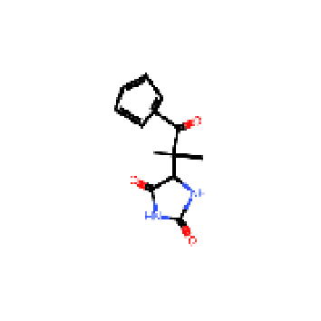 CC(C)(C(=O)c1ccccc1)C1NC(=O)NC1=O